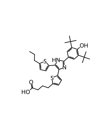 CCCc1ccc(-c2[nH]c(-c3cc(C(C)(C)C)c(O)c(C(C)(C)C)c3)nc2-c2ccc(CCCC(=O)O)s2)s1